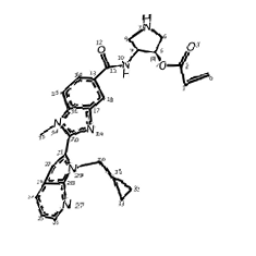 C=CC(=O)O[C@@H]1CNCC1NC(=O)c1ccc2c(c1)nc(-c1cc3cccnc3n1CC1CC1)n2C